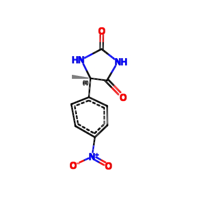 C[C@]1(c2ccc([N+](=O)[O-])cc2)NC(=O)NC1=O